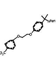 CCCCCC(C)(C)c1ccc(OCCOc2ccc(C(=O)O)cc2)cc1